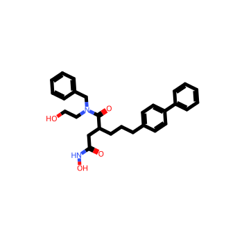 O=C(CC(CCCc1ccc(-c2ccccc2)cc1)C(=O)N(CCO)Cc1ccccc1)NO